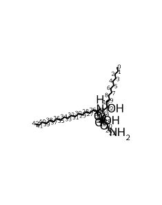 CCCCCCCCC/C=C/[C@@H](O)[C@H](COP(=O)(O)OCCN)NC(=O)CCCCCCCCCCCCCCCCC